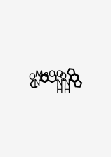 COC(=O)C(Cc1cccc(N2CCCC2=O)c1)NC(=O)Nc1c2c(cc3c1CCC3)CCC2